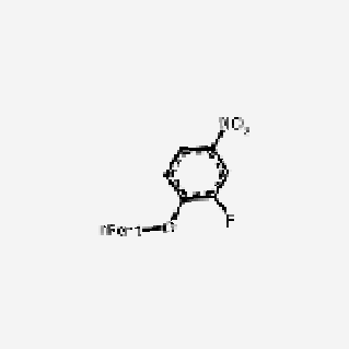 CCCCCOc1ccc([N+](=O)[O-])cc1F